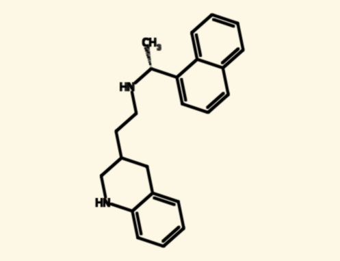 C[C@@H](NCCC1CNc2ccccc2C1)c1cccc2ccccc12